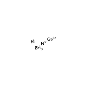 B.[Al].[Ga+3].[N-3]